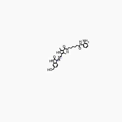 Cc1[nH]c(/C=N/N=C2\C(=O)Nc3cc(CO)ccc32)c(C)c1C(=O)NCCCCCC(=O)Nc1ccccc1N